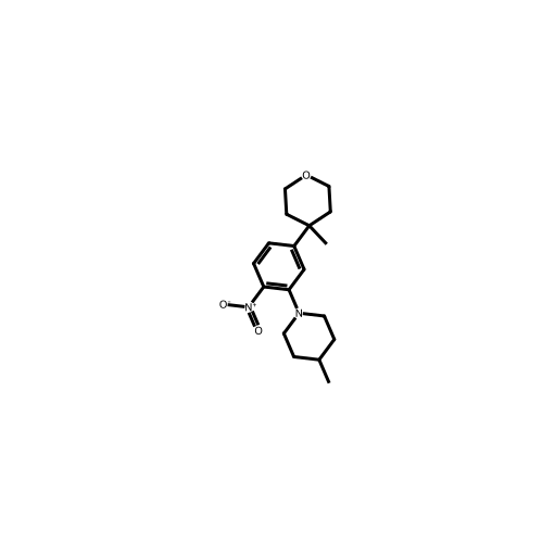 CC1CCN(c2cc(C3(C)CCOCC3)ccc2[N+](=O)[O-])CC1